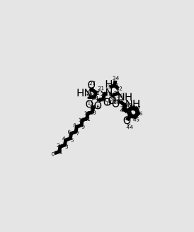 CCCCCCCCCCCCCCC(=O)OCC(=O)[C@H](C[C@@H]1CCNC1=O)NC(=O)[C@H](CC(C)C)NC(=O)c1cc2c(OC)cccc2[nH]1